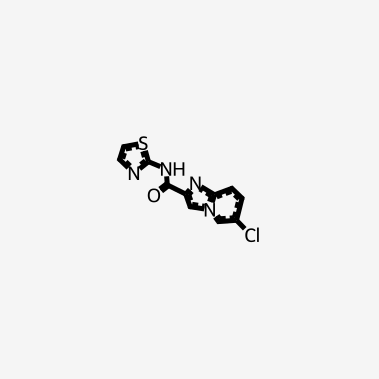 O=C(Nc1nccs1)c1cn2cc(Cl)ccc2n1